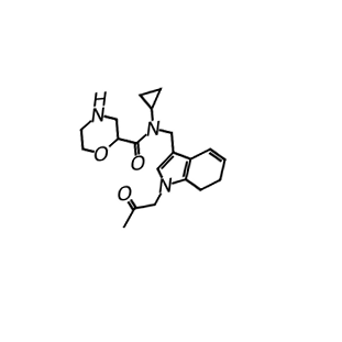 CC(=O)Cn1cc(CN(C(=O)C2CNCCO2)C2CC2)c2c1CCC=C2